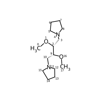 CO[C@H](CN1CCCC1)[C@@H](CN1CCCC1)OC